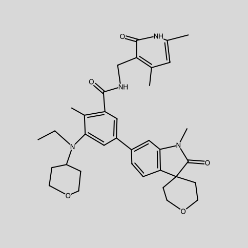 CCN(c1cc(-c2ccc3c(c2)N(C)C(=O)C32CCOCC2)cc(C(=O)NCc2c(C)cc(C)[nH]c2=O)c1C)C1CCOCC1